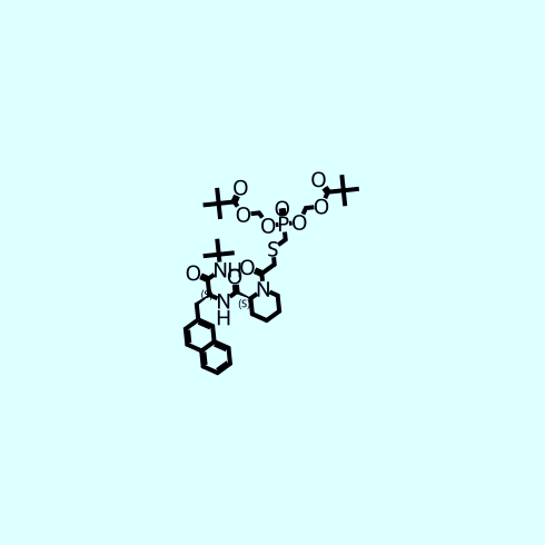 CC(C)(C)NC(=O)[C@H](Cc1ccc2ccccc2c1)NC(=O)[C@@H]1CCCCN1C(=O)CSCP(=O)(OCOC(=O)C(C)(C)C)OCOC(=O)C(C)(C)C